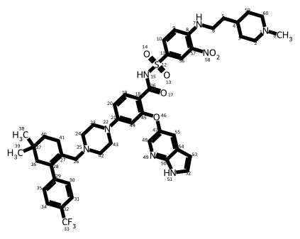 CN1CCC(CCNc2ccc(S(=O)(=O)NC(=O)c3ccc(N4CCN(CC5=C(c6ccc(C(F)(F)F)cc6)CC(C)(C)CC5)CC4)cc3Oc3cnc4[nH]ccc4c3)cc2[N+](=O)[O-])CC1